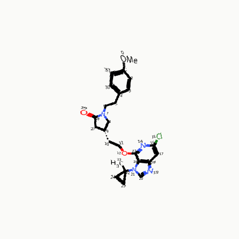 COc1ccc(CCN2C[C@H](CCOc3nc(Cl)cc4ncn(C5(C)CC5)c34)CC2=O)cc1